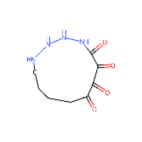 O=C1CCCCNNNNC(=O)C(=O)C1=O